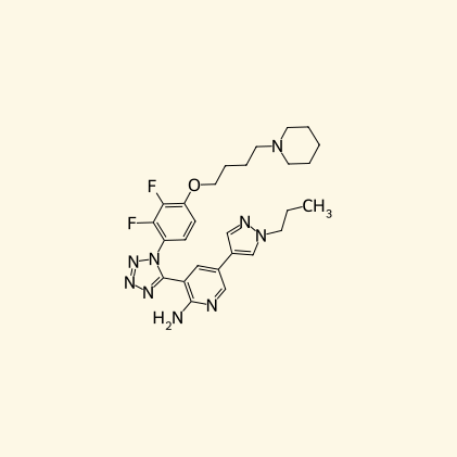 CCCn1cc(-c2cnc(N)c(-c3nnnn3-c3ccc(OCCCCN4CCCCC4)c(F)c3F)c2)cn1